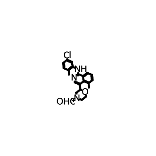 Cc1ccc(Cl)cc1Nc1ncc(C2CN(C=O)CCO2)c2c(C)cccc12